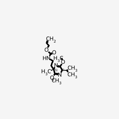 C=CCOC(=O)NCC[C@]1(C)N=C(OC)[C@@H](C(C)C)N=C1OC